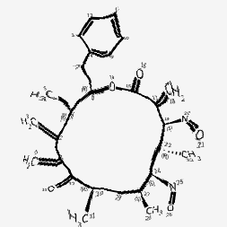 C=C1C(=C)[C@@H](C)[C@@H](Cc2ccccc2)OC(=O)C(=C)[C@@H](N=O)[C@H](C)[C@@H](N=O)[C@@H](C)C[C@@H](C)C1=O